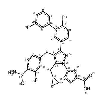 N[S+]([O-])c1ccc(Cc2c(-c3ccc(F)c(-c4cccc(F)c4)c3)nn(-c3nc(C(=O)O)cs3)c2CC2CC2)cc1F